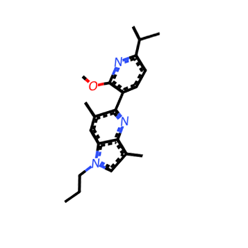 CCCn1cc(C)c2nc(-c3ccc(C(C)C)nc3OC)c(C)cc21